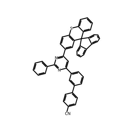 N#Cc1ccc(-c2cccc(-c3cc(-c4ccc5c(c4)C4(c6ccccc6S5)c5ccccc5-c5ccccc54)nc(-c4ccccc4)n3)c2)cc1